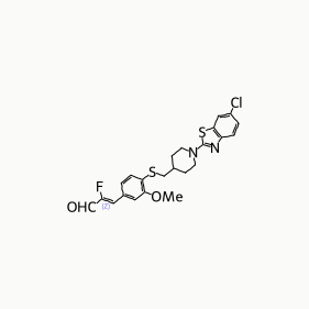 COc1cc(/C=C(\F)C=O)ccc1SCC1CCN(c2nc3ccc(Cl)cc3s2)CC1